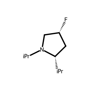 CC(C)[C@H]1C[C@@H](F)CN1C(C)C